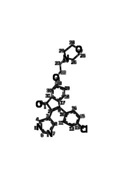 O=C1C(c2cncnc2)=C(c2ccc(Cl)cc2)c2ccc(OCCN3CCOCC3)cc21